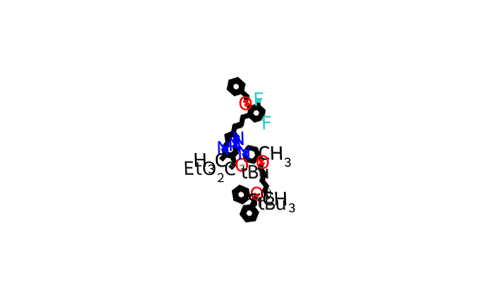 CCOC(=O)C(OC(C)(C)C)c1c(C)nc2cc(C=CCc3cc(F)cc(F)c3OCc3ccccc3)nn2c1N1CCC(C)(OCCCC[C@@H](C)O[Si](c2ccccc2)(c2ccccc2)C(C)(C)C)CC1